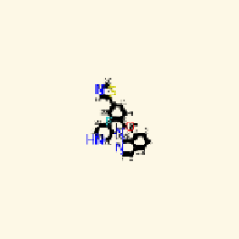 Cc1cccc2ccnc(N(C(=O)c3ccc(-c4cncs4)cc3F)[C@@H]3CCCNC3)c12